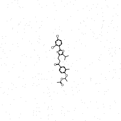 CC(=O)OC(C)Oc1ccc(C(=O)CCc2nc(-c3ccc(Cl)cc3Cl)oc2C(C)C)cc1C